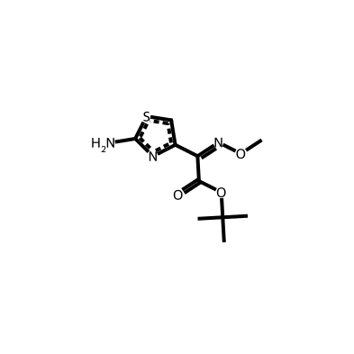 CON=C(C(=O)OC(C)(C)C)c1csc(N)n1